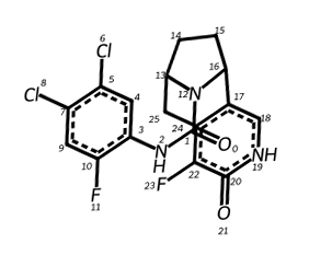 O=C(Nc1cc(Cl)c(Cl)cc1F)N1C2CCC1c1c[nH]c(=O)c(F)c1C2